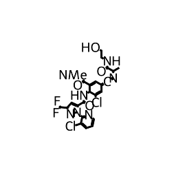 CNC(=O)C1=CC(=C=NC(C)C(=O)NCCO)C=C(Cl)C1NC(=O)c1cc(C(F)F)nn1-c1ncccc1Cl